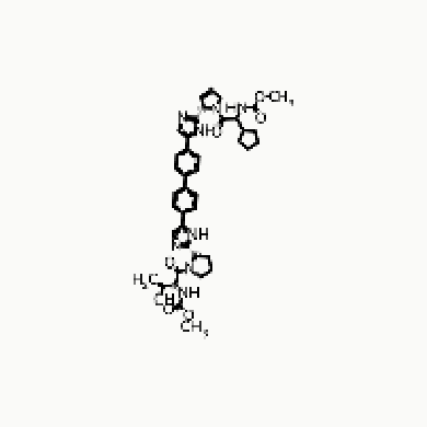 C=C(C)[C@H](NC(=O)OC)C(=O)N1CCC[C@H]1c1ncc(-c2ccc(-c3ccc(-c4cnc([C@@H]5C=CCN5C(=O)C(NC(=O)OC)C5CCCC5)[nH]4)cc3)cc2)[nH]1